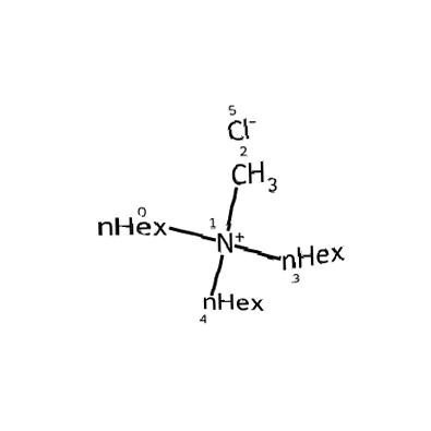 CCCCCC[N+](C)(CCCCCC)CCCCCC.[Cl-]